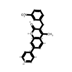 Cc1c(Cc2cccc([N+](=O)[O-])c2)c(=O)oc2cc(-c3ccncc3)ccc12